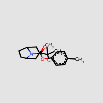 Cc1ccc(OC(=O)N2C3CCC2CC(C(C)(C)C)C3)cc1